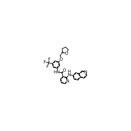 O=C(Nc1cc(OC[C@H]2CCCO2)cc(C(F)(F)F)c1)c1cccnc1Nc1ccc2ccncc2c1